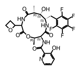 C[C@H]1OC(=O)C(C2CCO2)NC(=O)[C@H](C)[C@H](O)[C@H](Cc2c(F)c(F)c(F)c(F)c2F)NC(=O)[C@H]1NC(=O)c1ncccc1O